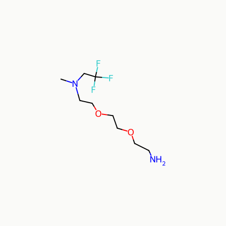 CN(CCOCCOCCN)CC(F)(F)F